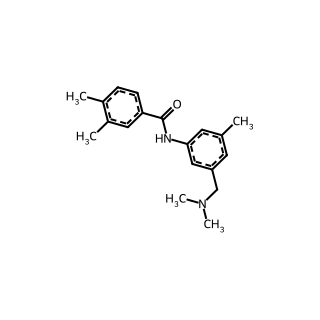 Cc1cc(CN(C)C)cc(NC(=O)c2ccc(C)c(C)c2)c1